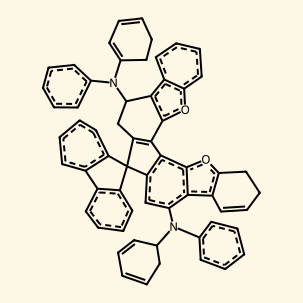 C1=CCCC(N(c2ccccc2)C2CC3=C(c4oc5ccccc5c42)c2c(cc(N(c4ccccc4)C4C=CC=CC4)c4c5c(oc24)CCC=C5)C32c3ccccc3-c3ccccc32)=C1